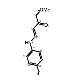 COCC(=O)/C=N/Nc1ccc(F)cc1